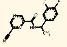 CC(NC(=O)c1cncc(C#N)n1)c1ccc(F)c(F)c1